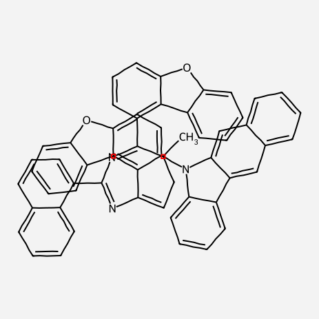 CC1C/C=C(c2c(-n3c4ccccc4c4cc5ccccc5cc43)ccc3oc4ccccc4c23)/N=C(c2cccc3ccccc23)\N=C/1c1cccc2oc3ccccc3c12